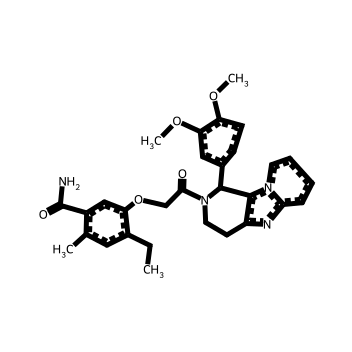 CCc1cc(C)c(C(N)=O)cc1OCC(=O)N1CCc2nc3ccccn3c2C1c1ccc(OC)c(OC)c1